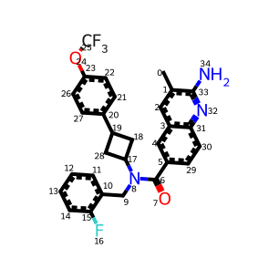 Cc1cc2cc(C(=O)N(Cc3ccccc3F)C3CC(c4ccc(OC(F)(F)F)cc4)C3)ccc2nc1N